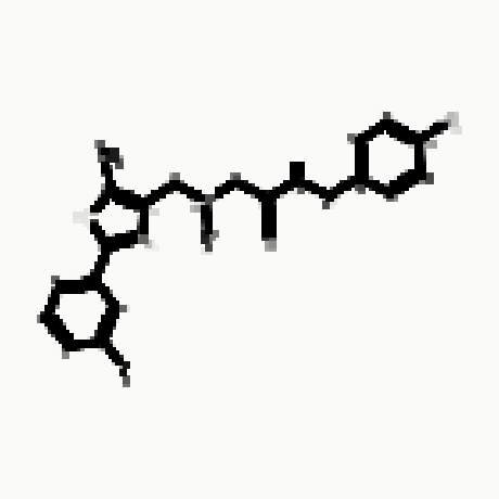 Cc1oc(-c2cccc(Cl)c2)nc1C[S+]([O-])CC(=O)NCc1ccc(Cl)cc1